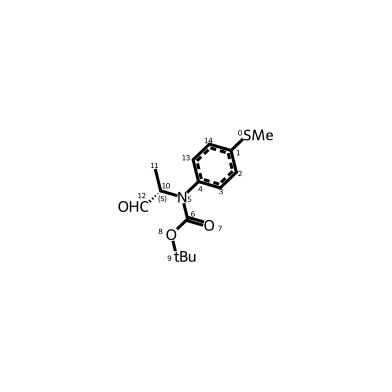 CSc1ccc(N(C(=O)OC(C)(C)C)[C@@H](C)C=O)cc1